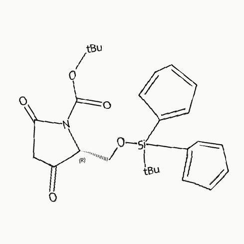 CC(C)(C)OC(=O)N1C(=O)CC(=O)[C@H]1CO[Si](c1ccccc1)(c1ccccc1)C(C)(C)C